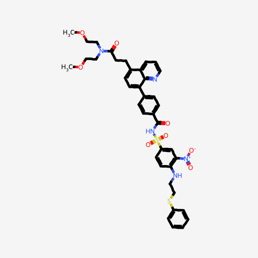 COCCN(CCOC)C(=O)CCc1ccc(-c2ccc(C(=O)NS(=O)(=O)c3ccc(NCCSc4ccccc4)c([N+](=O)[O-])c3)cc2)c2ncccc12